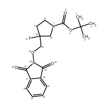 CC(C)(C)OC(=O)N1CCC(F)(CON2C(=O)c3ccccc3C2=O)C1